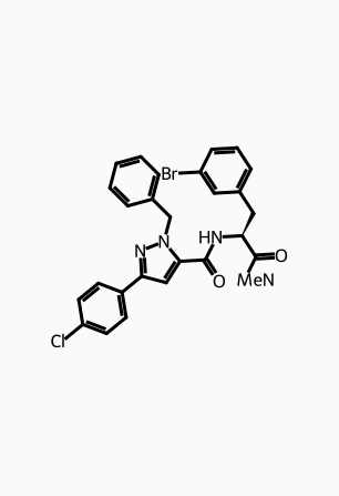 CNC(=O)[C@H](Cc1cccc(Br)c1)NC(=O)c1cc(-c2ccc(Cl)cc2)nn1Cc1ccccc1